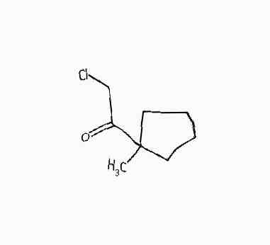 CC1(C(=O)CCl)CCCC1